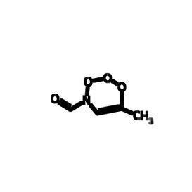 Cc1cn(C=O)ooo1